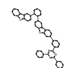 c1ccc(-c2nc(-c3ccccc3)nc(-c3cccc(-c4ccc5c(c4)oc4ccc(-c6ccccc6-c6ccc7oc8ccccc8c7c6)cc45)c3)n2)cc1